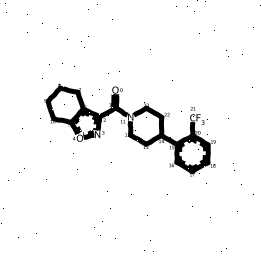 O=C(c1noc2c1CCCC2)N1CCC(c2ccccc2C(F)(F)F)CC1